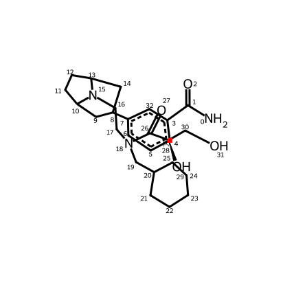 NC(=O)c1cccc(C2CC3CCC(C2)N3CCN(CC2CCCCC2)C(=O)[C@H](O)CO)c1